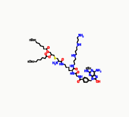 CCCCCCCCCCCCCCCC(=O)OCC(CSC[C@H](N)C(=O)NCCCC[C@H](NC(=O)CNC(=O)c1ccc(Cn2c(O)nc3c(N)nc(NCCCC)nc32)cc1)C(=O)NCCCNCCCCNCCCN)OC(=O)CCCCCCCCCCCCCCC